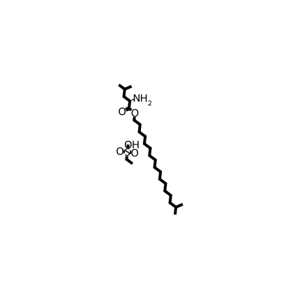 CC(C)CCCCCCCCCCCCCCCOC(=O)[C@@H](N)CC(C)C.CCS(=O)(=O)O